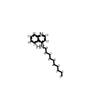 CCCCCCCCCCNc1ccnc2ccccc12